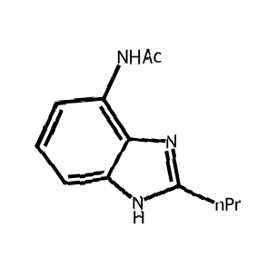 CCCc1nc2c(NC(C)=O)cccc2[nH]1